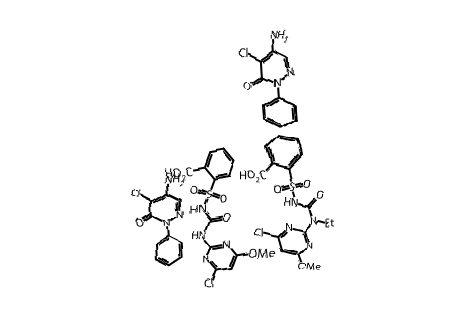 CCN(C(=O)NS(=O)(=O)c1ccccc1C(=O)O)c1nc(Cl)cc(OC)n1.COc1cc(Cl)nc(NC(=O)NS(=O)(=O)c2ccccc2C(=O)O)n1.Nc1cnn(-c2ccccc2)c(=O)c1Cl.Nc1cnn(-c2ccccc2)c(=O)c1Cl